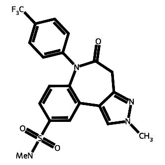 CNS(=O)(=O)c1ccc2c(c1)-c1cn(C)nc1CC(=O)N2c1ccc(C(F)(F)F)cc1